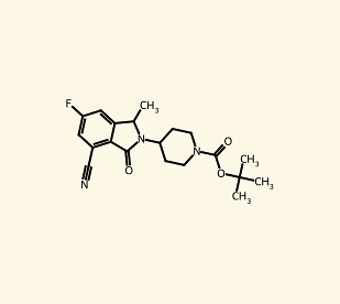 CC1c2cc(F)cc(C#N)c2C(=O)N1C1CCN(C(=O)OC(C)(C)C)CC1